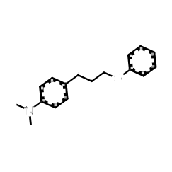 CN(C)c1ccc([CH]CCOc2ccccc2)cc1